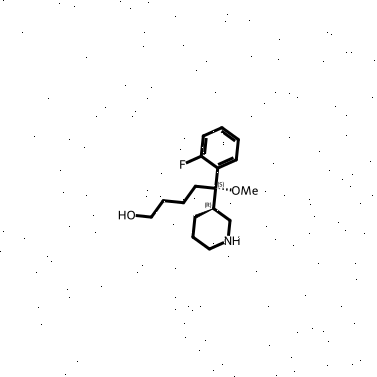 CO[C@](CCCCO)(c1ccccc1F)[C@@H]1CCCNC1